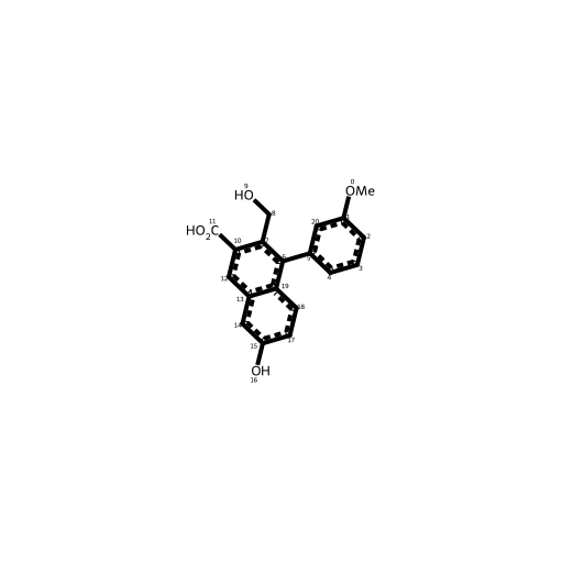 COc1cccc(-c2c(CO)c(C(=O)O)cc3cc(O)ccc23)c1